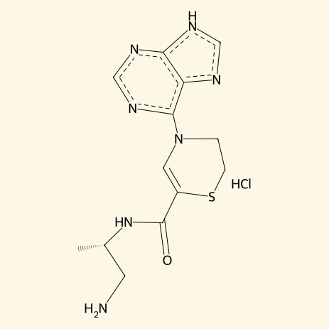 C[C@@H](CN)NC(=O)C1=CN(c2ncnc3[nH]cnc23)CCS1.Cl